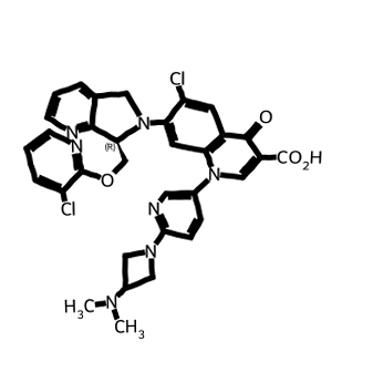 CN(C)C1CN(c2ccc(-n3cc(C(=O)O)c(=O)c4cc(Cl)c(N5Cc6cccnc6[C@@H]5COc5ncccc5Cl)cc43)cn2)C1